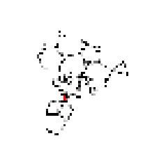 CC(C)(C)OC(=O)N1C2CCC1CC(OC(=O)c1c(-c3c(Cl)cccc3Cl)noc1C1(F)CC1)C2